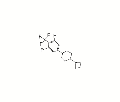 Fc1cc(C2CCC(C3CCC3)CC2)cc(F)c1C(F)(F)F